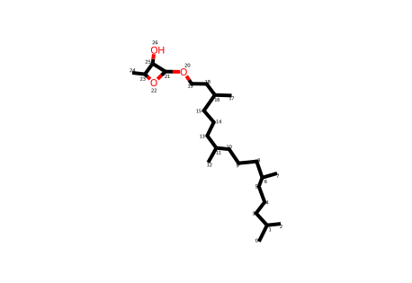 CC(C)CCCC(C)CCCC(C)CCCC(C)CCOC1OC(C)C1O